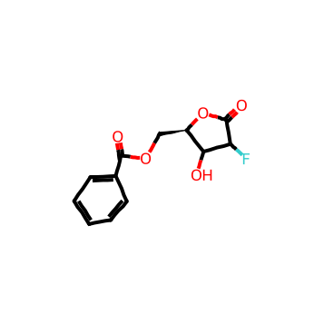 O=C(OC[C@H]1OC(=O)C(F)C1O)c1ccccc1